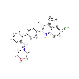 Cc1c(-c2ccc(-c3ccccc3CN3CCOCC3)cc2)nc2ccc(F)cc2c1C(=O)O